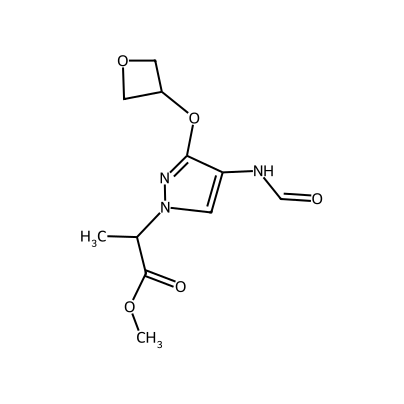 COC(=O)C(C)n1cc(NC=O)c(OC2COC2)n1